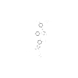 COc1cc(C(C)(C)c2cnc(SCc3c(F)cc(S(=O)(=O)N(CCC[N+](C)(C)C)[C@@H](C)C(=O)O)cc3Cl)n2-c2ccc(F)cc2)ccc1Cl